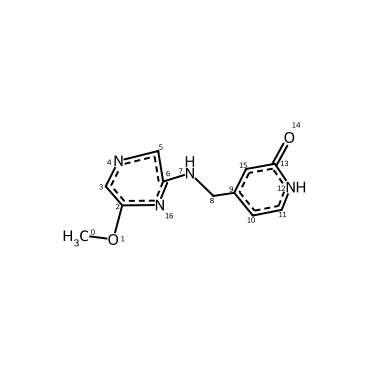 COc1cncc(NCc2cc[nH]c(=O)c2)n1